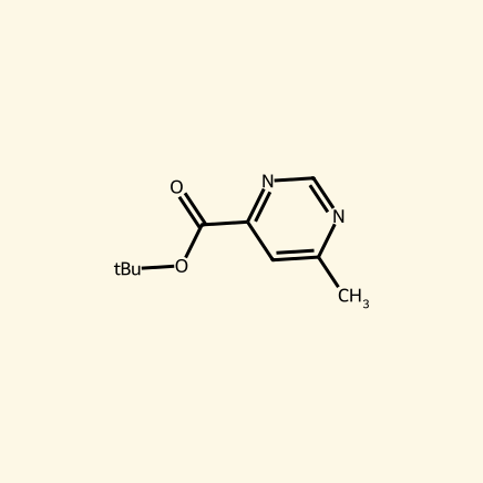 Cc1cc(C(=O)OC(C)(C)C)ncn1